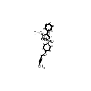 CC#CCOC1CCN(S(=O)(=O)CC(c2ccccc2)N(O)C=O)CC1